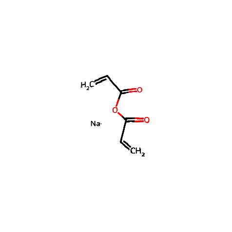 C=CC(=O)OC(=O)C=C.[Na]